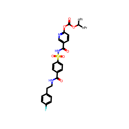 CCCC(CCC)OC(=O)Oc1ccc(C(=O)NS(=O)(=O)c2ccc(C(=O)NCCc3ccc(F)cc3)cc2)cn1